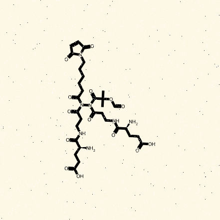 CC(C)(O[C]=O)C(=O)N(C(=O)CCNC(=O)[C@@H](N)CCC(=O)O)N(C(=O)CCCCCN1C(=O)C=CC1=O)C(=O)CCNC(=O)[C@@H](N)CCC(=O)O